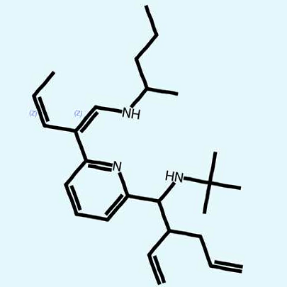 C=CCC(C=C)C(NC(C)(C)C)c1cccc(C(/C=C\C)=C\NC(C)CCC)n1